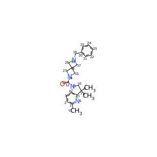 Cc1ccc2c(n1)C(C)(C)CN2C(=O)N1CC2(CN(Cc3ccccc3)C2)C1